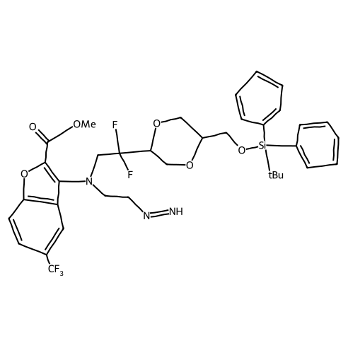 COC(=O)c1oc2ccc(C(F)(F)F)cc2c1N(CCN=N)CC(F)(F)C1COC(CO[Si](c2ccccc2)(c2ccccc2)C(C)(C)C)CO1